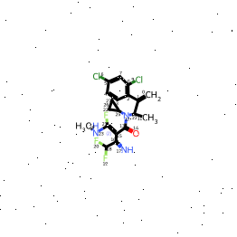 C=C(c1ccc(Cl)cc1Cl)C(C)N(C(=O)/C(C(=N)C(F)F)=C(\F)NC)C1CC1